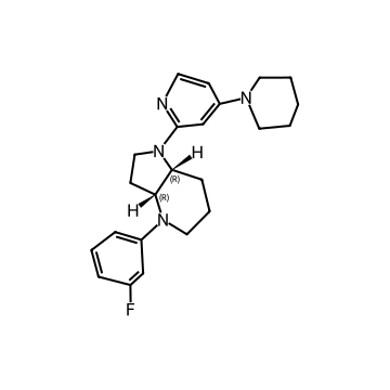 Fc1cccc(N2CCC[C@@H]3[C@H]2CCN3c2cc(N3CCCCC3)ccn2)c1